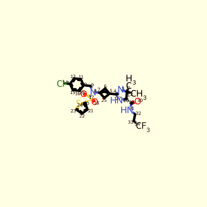 CC1(C)N=C(C23CC(N(Cc4ccc(Cl)cc4)S(=O)(=O)c4cccs4)(C2)C3)N[C@H]1C(=O)NCCC(F)(F)F